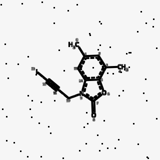 Cc1cc(C)c2oc(=O)n(CC#CI)c2c1